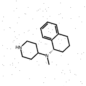 CN(C1CCNCC1)[C@H]1CCCc2ccccc21